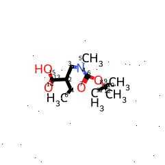 CCC(CN(C)C(=O)OC(C)(C)C)C(=O)O